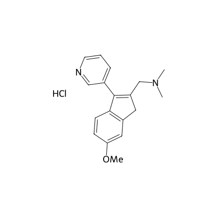 COc1ccc2c(c1)CC(CN(C)C)=C2c1cccnc1.Cl